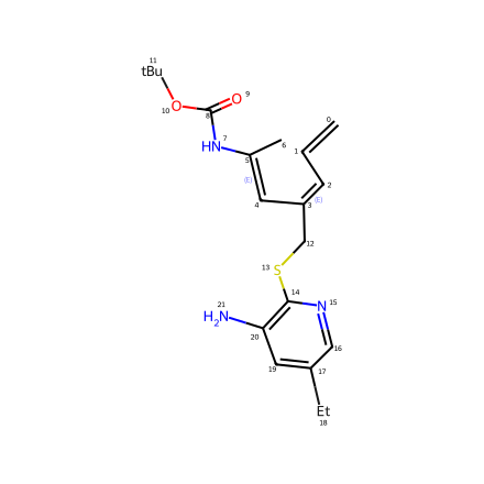 C=C/C=C(\C=C(/C)NC(=O)OC(C)(C)C)CSc1ncc(CC)cc1N